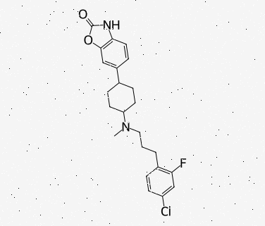 CN(CCCc1ccc(Cl)cc1F)C1CCC(c2ccc3[nH]c(=O)oc3c2)CC1